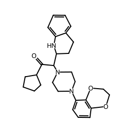 O=C(C1CCCC1)C(C1CCc2ccccc2N1)N1CCN(c2cccc3c2OCCO3)CC1